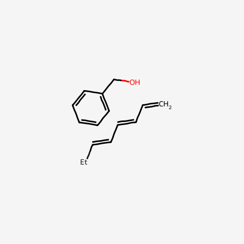 C=CC=CC=CCC.OCc1ccccc1